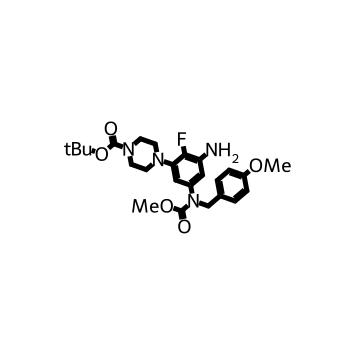 COC(=O)N(Cc1ccc(OC)cc1)c1cc(N)c(F)c(N2CCN(C(=O)OC(C)(C)C)CC2)c1